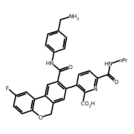 CCCNC(=O)c1ccc(-c2cc3c(cc2C(=O)Nc2ccc(CN)cc2)-c2cc(F)ccc2OC3)c(C(=O)O)n1